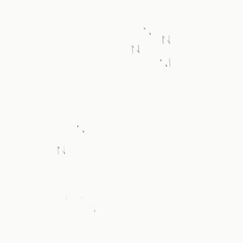 CCCCSc1nc2c(C(=O)OC)sc(C)c2n1Cc1ccc(-c2ccccc2)c(-c2nnn[nH]2)c1